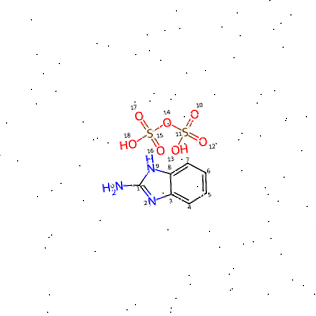 Nc1nc2ccccc2[nH]1.O=S(=O)(O)OS(=O)(=O)O